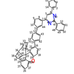 c1ccc(-c2cc(-c3cccc(-c4ccc(-c5ccc6c(c5)C5(c7ccccc7O6)c6ccccc6-c6ccccc65)cc4)c3)nc(-c3ccccc3)n2)cc1